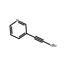 CCCCC#Cc1c[c]cnc1